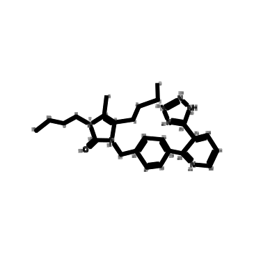 CCCCc1c(C)n(CCCC)c(=O)n1Cc1ccc(-c2ncccc2-c2nnn[nH]2)cc1